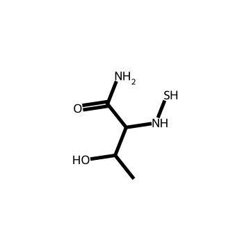 CC(O)C(NS)C(N)=O